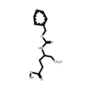 CC(C)(C)OC(=O)CCC(CC(=O)O)NC(=O)OCc1ccccc1